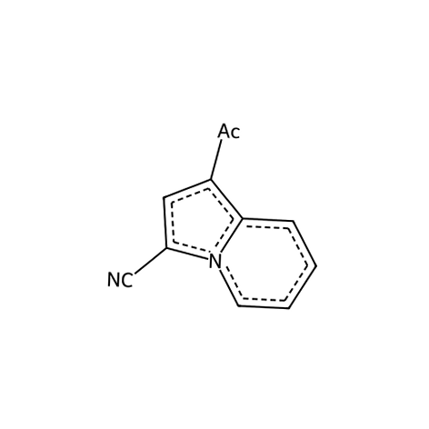 CC(=O)c1cc(C#N)n2ccccc12